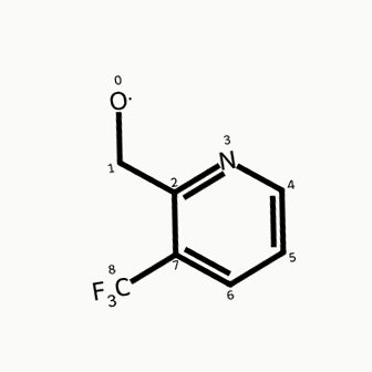 [O]Cc1ncccc1C(F)(F)F